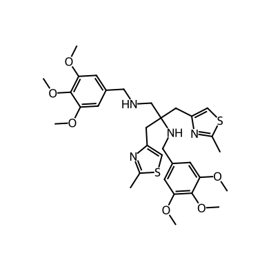 COc1cc(CNCC(Cc2csc(C)n2)(Cc2csc(C)n2)NCc2cc(OC)c(OC)c(OC)c2)cc(OC)c1OC